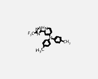 Cc1ccc(N(c2ccc(C)cc2)c2ccnc(-c3nc(C(F)(F)F)n[nH]3)c2)cc1